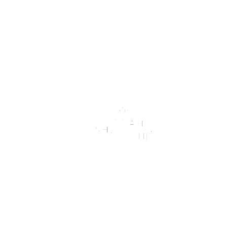 [AlH3].[Hf+4].[O-2].[O-2].[SiH4]